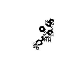 CS(=O)(=O)N1CCC(c2csc(Nc3ncc(Sc4ccnc5ccsc45)cc3Sc3ccccc3)n2)CC1